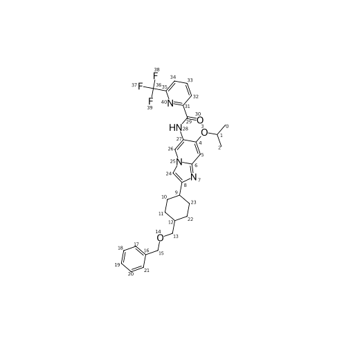 CC(C)Oc1cc2nc(C3CCC(COCc4ccccc4)CC3)cn2cc1NC(=O)c1cccc(C(F)(F)F)n1